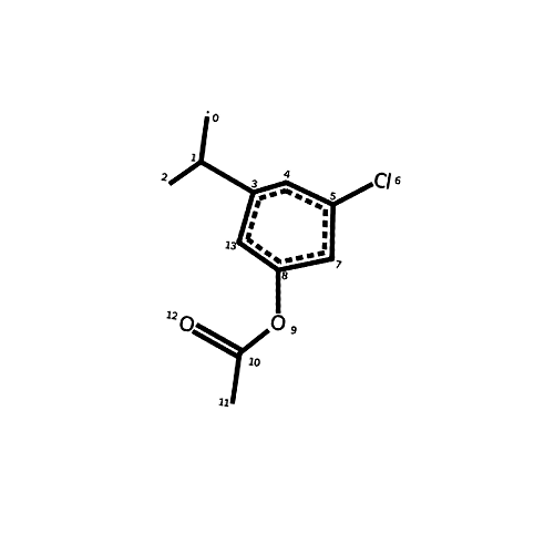 [CH2]C(C)c1cc(Cl)cc(OC(C)=O)c1